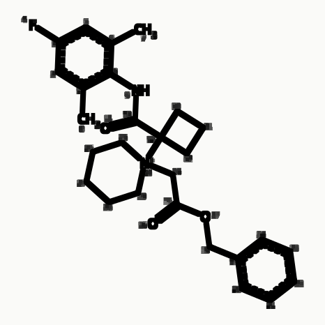 Cc1cc(F)cc(C)c1NC(=O)C1([N+]2(CC(=O)OCc3ccccc3)CCCCC2)CCC1